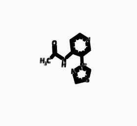 CC(=O)Nc1ccncc1-[n+]1cscn1